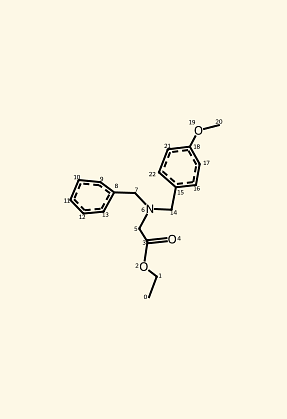 CCOC(=O)CN(Cc1ccccc1)Cc1ccc(OC)cc1